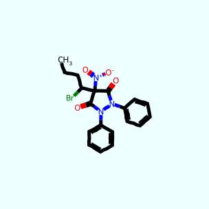 CCCC(Br)C1([N+](=O)[O-])C(=O)N(c2ccccc2)N(c2ccccc2)C1=O